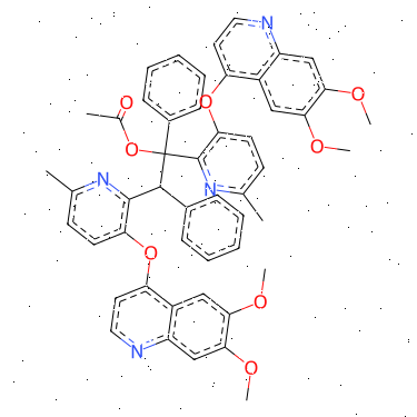 COc1cc2nccc(Oc3ccc(C)nc3C(c3ccccc3)C(OC(C)=O)(c3ccccc3)c3nc(C)ccc3Oc3ccnc4cc(OC)c(OC)cc34)c2cc1OC